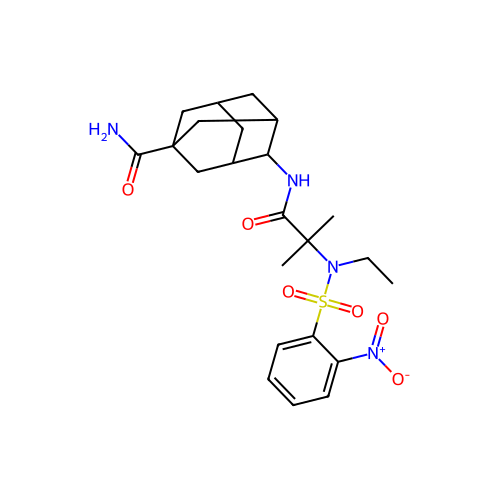 CCN(C(C)(C)C(=O)NC1C2CC3CC1CC(C(N)=O)(C3)C2)S(=O)(=O)c1ccccc1[N+](=O)[O-]